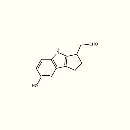 O=CCC1CCc2c1[nH]c1ccc(O)cc21